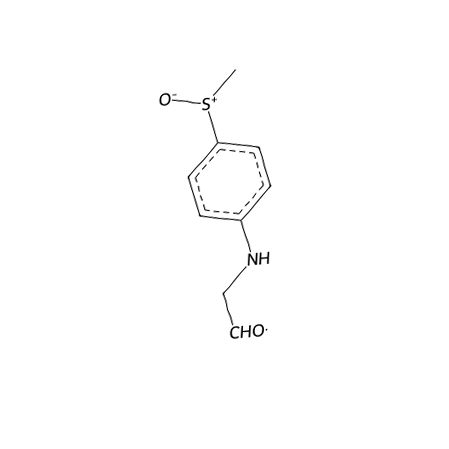 C[S+]([O-])c1ccc(NC[C]=O)cc1